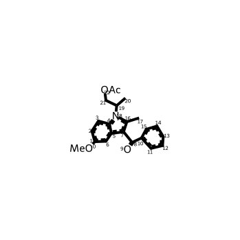 COc1ccc2c(c1)c(C(=O)c1ccccc1)c(C)n2C(C)COC(C)=O